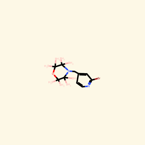 BC1(B)OC(B)(B)C(B)(B)N(Cc2ccnc(Br)c2)C1(B)B